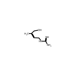 CC(=CCNC(=N)N)CO